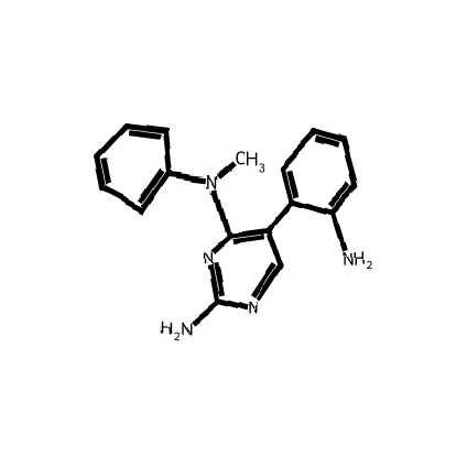 CN(c1ccccc1)c1nc(N)ncc1-c1ccccc1N